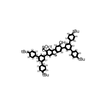 CCCCCCCCOc1cc2c(cc1-c1cc(-c3ccc(C(C)(C)C)cc3)cc(-c3ccc(C(C)(C)C)cc3)c1)sc1cc(-c3cc(-c4ccc(C(C)(C)C)cc4)cc(-c4ccc(C(C)(C)C)cc4)c3)c(O)cc12